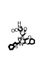 O=C=C[C@H](C[C@@H]1CCNC1=C=O)NC(=C=O)[C@H](CC1CCCCC1)NC(=O)c1cc2ccccc2s1